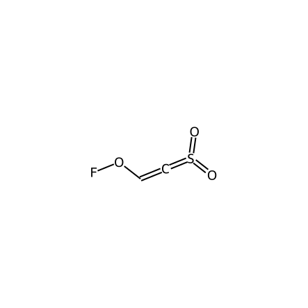 O=S(=O)=C=COF